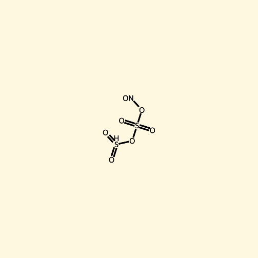 O=NOS(=O)(=O)O[SH](=O)=O